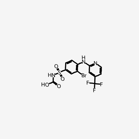 O=C(O)NS(=O)(=O)c1ccc(Nc2cc(C(F)(F)F)ccn2)c(Br)c1